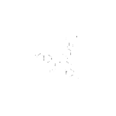 CCOC(=O)Cn1ncc2c1CCN(C(=O)[C@H](Cc1ccc([N+](=O)[O-])cc1)NC(=O)c1ccc(C(=N)N)cc1)C2.Cl